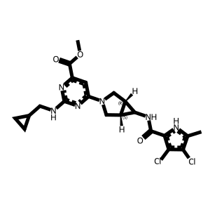 COC(=O)c1cc(N2C[C@@H]3C(NC(=O)c4[nH]c(C)c(Cl)c4Cl)[C@@H]3C2)nc(NCC2CC2)n1